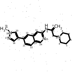 C=C(CN1CCCCC1)Nc1cc2cc(-c3cnn(C)c3)ccc2cn1